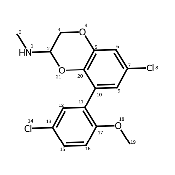 CNC1COc2cc(Cl)cc(-c3cc(Cl)ccc3OC)c2O1